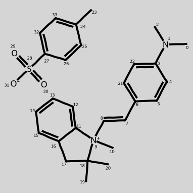 CN(C)c1ccc(/C=C/[N+]2(C)c3ccccc3CC2(C)C)cc1.Cc1ccc(S(=O)(=O)[O-])cc1